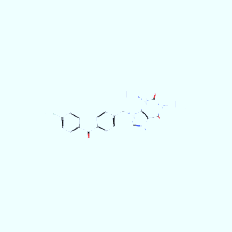 Cn1c(=O)c2ncn(Cc3ccc(C(=O)c4ccc(Cl)cc4)cc3)c2n(C)c1=O